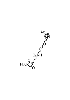 CC(=O)c1cn(CCOCCOCCNC(=O)CCCN2C(=O)CC(C)C2=O)nn1